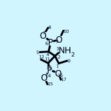 CCC(N)(C(C)P(OC)OC)C(C)P(OC)OC